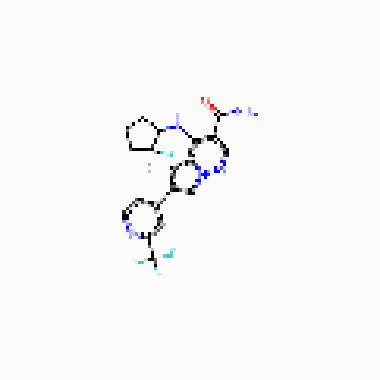 C[C@]1(F)CCC[C@H]1Nc1c(C(N)=O)cnn2cc(-c3ccnc(C(F)(F)F)c3)cc12